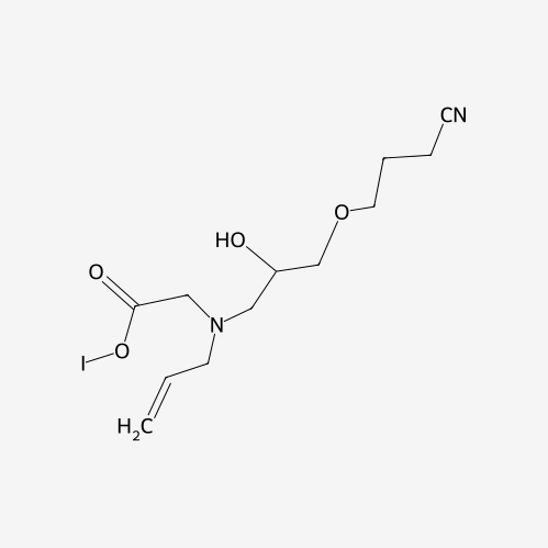 C=CCN(CC(=O)OI)CC(O)COCCCC#N